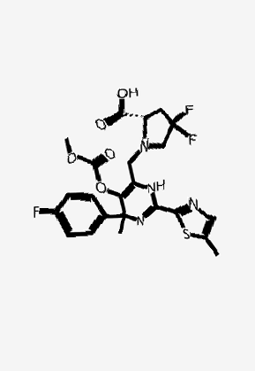 COC(=O)OC1=C(CN2CC(F)(F)C[C@H]2C(=O)O)NC(c2ncc(C)s2)=NC1(C)c1ccc(F)cc1